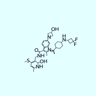 CSC1=C(CNC(=O)c2c(C)n([C@H](C)C3CCC(NC4CC(F)(F)C4)CC3)c3cc(N4CC(O)C4)ccc23)C(O)NC(C)=C1